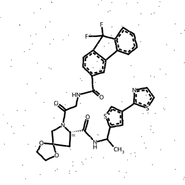 CC(NC(=O)[C@@H]1CC2(CN1C(=O)CNC(=O)c1ccc3c(c1)-c1ccccc1C3(F)F)OCCO2)c1cc(-c2nccs2)cs1